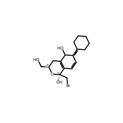 OC[C@H]1CC2=C(C=CC(=C3CCCCC3)C2O)[C@@](O)(CBr)O1